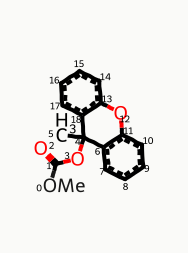 COC(=O)OC1(C)c2ccccc2Oc2ccccc21